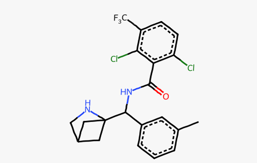 Cc1cccc(C(NC(=O)c2c(Cl)ccc(C(F)(F)F)c2Cl)C23CC(CN2)C3)c1